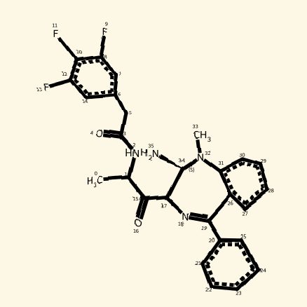 CC(NC(=O)Cc1cc(F)c(F)c(F)c1)C(=O)C1N=C(c2ccccc2)c2ccccc2N(C)[C@@H]1N